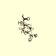 CC(=O)N[13c]1[13cH][13cH][13c]([N+](=O)[O-])[13cH][13cH]1